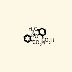 C=C1CC=CC(C(=O)O)=C1OOc1ccccc1C(=O)O